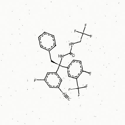 [C-]#[N+]c1cc(F)cc([C@](Cc2ccccc2)(NC(=O)NCC(F)(F)F)c2ccc(F)c(C(F)(F)F)c2)c1